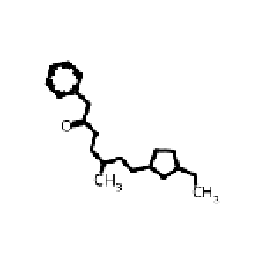 CCC1CCC(CCC(C)CCC(=O)Cc2ccccc2)C1